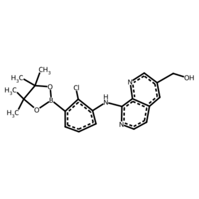 CC1(C)OB(c2cccc(Nc3nccc4cc(CO)cnc34)c2Cl)OC1(C)C